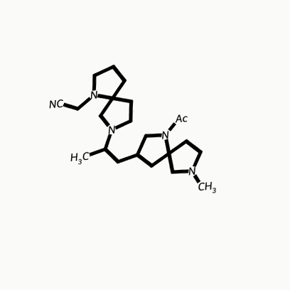 CC(=O)N1CC(CC(C)N2CCC3(CCCN3CC#N)C2)CC12CCN(C)C2